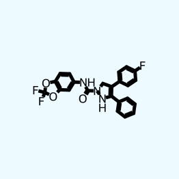 O=C(Nc1ccc2c(c1)OC(F)(F)O2)N1CC(c2ccc(F)cc2)=C(c2ccccc2)N1